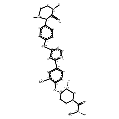 C[C@H](O)C(=O)N1CC[C@H](Oc2ccc(-c3ncnc(Nc4ccc(C5C(=O)N(C)CCN5C)cc4)n3)cc2C#N)[C@H](F)C1